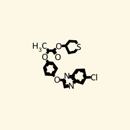 CC(Oc1ccc(Oc2cnc3cc(Cl)ccc3n2)cc1)C(=O)OC1CCSCC1